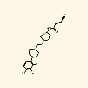 N#CCCC(=O)N[C@H]1CC[C@H](CCN2CCN(c3ccc(Cl)c(Cl)c3F)CC2)CC1